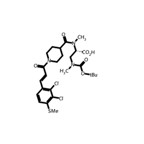 CSc1ccc(/C=C/C(=O)N2CCC(C(=O)N(C)[C@@H](CN(C)C(=O)OC(C)(C)C)C(=O)O)CC2)c(Cl)c1Cl